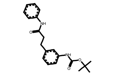 CC(C)(C)OC(=O)Nc1cccc(CCC(=O)Nc2ccccc2)c1